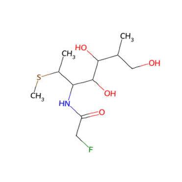 CSC(C)C(NC(=O)CF)C(O)C(O)C(C)CO